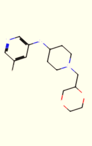 CCc1cncc(NC2CCN(CC3COCCO3)CC2)c1